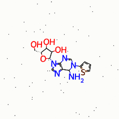 NC1c2ncn([C@@H]3O[C@H](CO)C(O)C3O)c2N=CN1c1cccs1